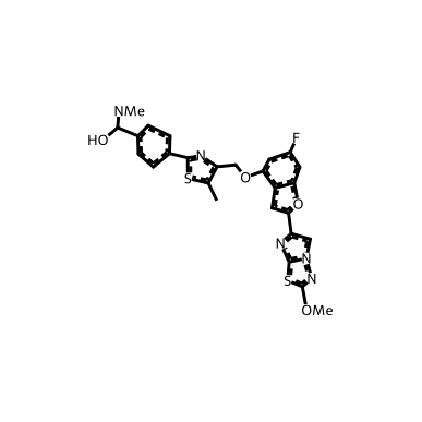 CNC(O)c1ccc(-c2nc(COc3cc(F)cc4oc(-c5cn6nc(OC)sc6n5)cc34)c(C)s2)cc1